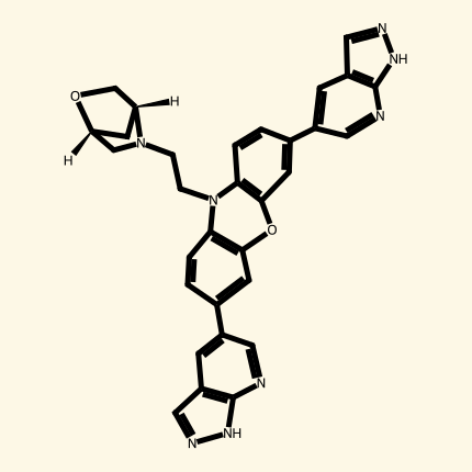 c1cc2c(cc1-c1cnc3[nH]ncc3c1)Oc1cc(-c3cnc4[nH]ncc4c3)ccc1N2CCN1C[C@H]2C[C@@H]1CO2